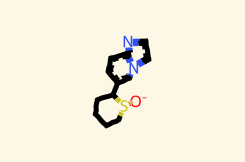 [O-][S+]1CCCCC1c1ccc2nccn2c1